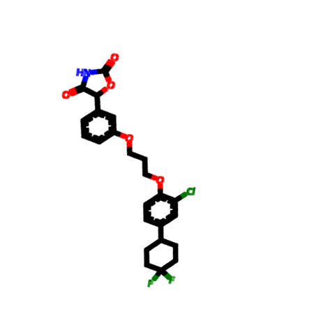 O=C1NC(=O)C(c2cccc(OCCCOc3ccc(C4CCC(F)(F)CC4)cc3Cl)c2)O1